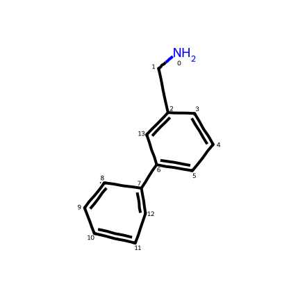 NCc1cccc(-c2[c]cccc2)c1